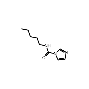 CCCCCNC(=O)n1ccnc1